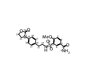 COc1ccc(C(N)=O)cc1S(=O)(=O)NCCc1ccc(N2CCOC2=O)cc1